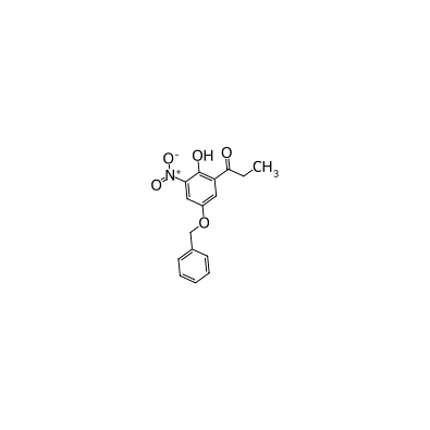 CCC(=O)c1cc(OCc2ccccc2)cc([N+](=O)[O-])c1O